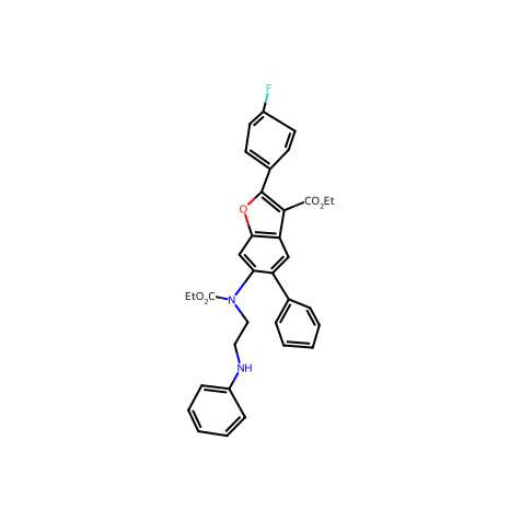 CCOC(=O)c1c(-c2ccc(F)cc2)oc2cc(N(CCNc3ccccc3)C(=O)OCC)c(-c3ccccc3)cc12